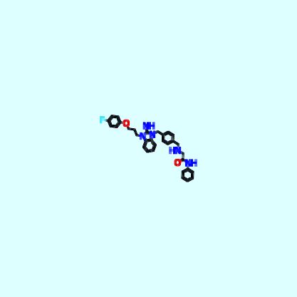 N=c1n(CCCOc2ccc(F)cc2)c2ccccc2n1Cc1ccc(CNCC(=O)Nc2ccccc2)cc1